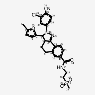 Cc1ccc(C2C3CCc4cc(C(=O)NCCS(C)(=O)=O)ccc4C3=NN2c2ccc(C#N)c(Cl)c2)o1